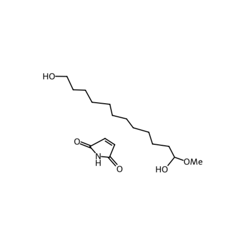 COC(O)CCCCCCCCCCCO.O=C1C=CC(=O)N1